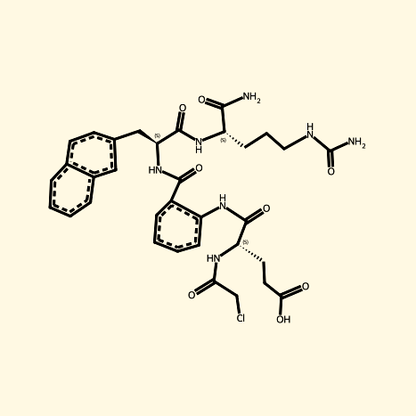 NC(=O)NCCC[C@H](NC(=O)[C@H](Cc1ccc2ccccc2c1)NC(=O)c1ccccc1NC(=O)[C@H](CCC(=O)O)NC(=O)CCl)C(N)=O